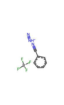 F[B-](F)(F)F.N#Cc1ccccc1.N#[NH+]